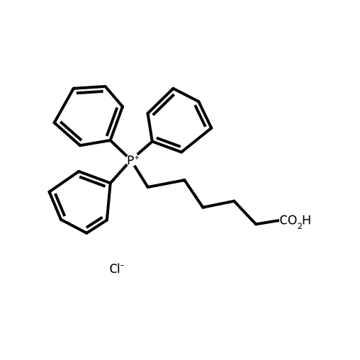 O=C(O)CCCCC[P+](c1ccccc1)(c1ccccc1)c1ccccc1.[Cl-]